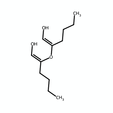 CCCCC(=CO)OC(=CO)CCCC